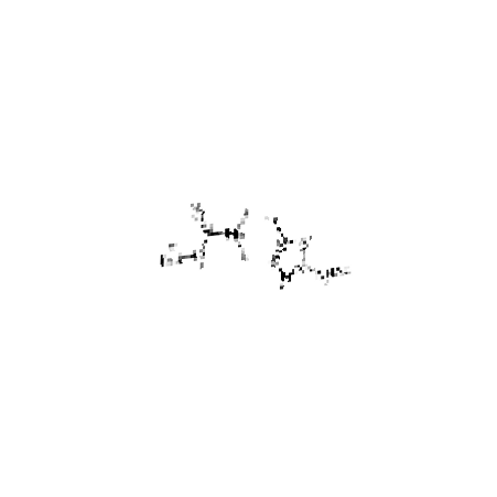 CC(=O)Nc1nc2c(s1)CCN(C(=O)OC(C)(C)C)C2